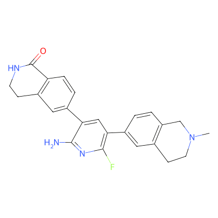 CN1CCc2cc(-c3cc(-c4ccc5c(c4)CCNC5=O)c(N)nc3F)ccc2C1